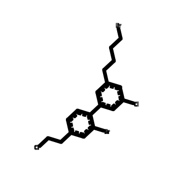 ClCCc1ccc(-c2cc(Cl)[c]c(CCCCBr)c2)c(Br)c1